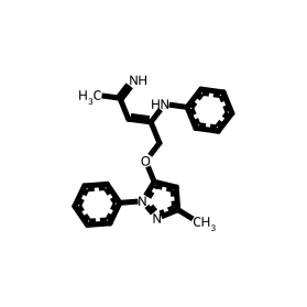 CC(=N)/C=C(/COc1cc(C)nn1-c1ccccc1)Nc1ccccc1